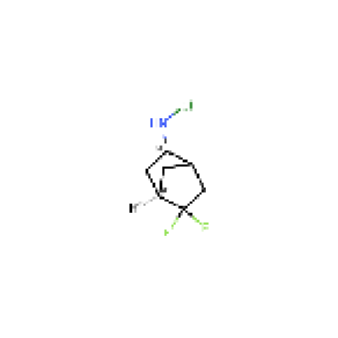 FC1(F)CC2C[C@@H]1C[C@@H]2NCl